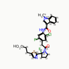 Cn1cc(C(=O)Nc2cc(F)c(CC(=O)N3CCC[C@]3(F)c3ncc(CCC(=O)O)s3)cc2Cl)c2ccccc21